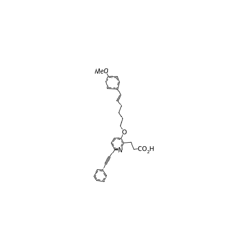 COc1ccc(/C=C/CCCCOc2ccc(C#Cc3ccccc3)nc2CCC(=O)O)cc1